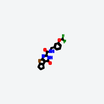 O=C(NCc1cccc(OC(F)F)c1)c1nc2sc3c(c2c(=O)[nH]1)CCC3